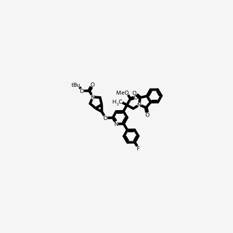 COC(=O)C(C)(CN1C(=O)c2ccccc2C1=O)c1cc(OC2C3CN(C(=O)OC(C)(C)C)CC32)nc(-c2ccc(F)cc2)c1